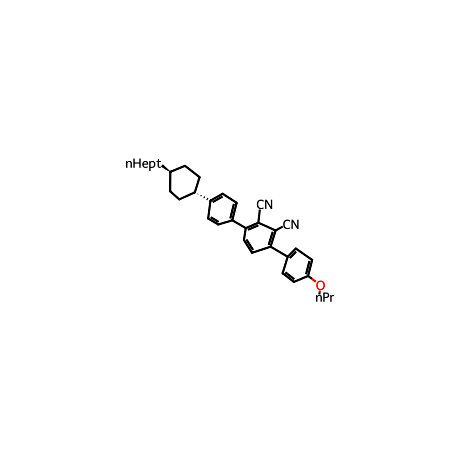 CCCCCCC[C@H]1CC[C@H](c2ccc(-c3ccc(-c4ccc(OCCC)cc4)c(C#N)c3C#N)cc2)CC1